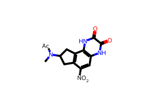 CC(=O)N(C)C1Cc2c([N+](=O)[O-])cc3[nH]c(=O)c(=O)[nH]c3c2C1